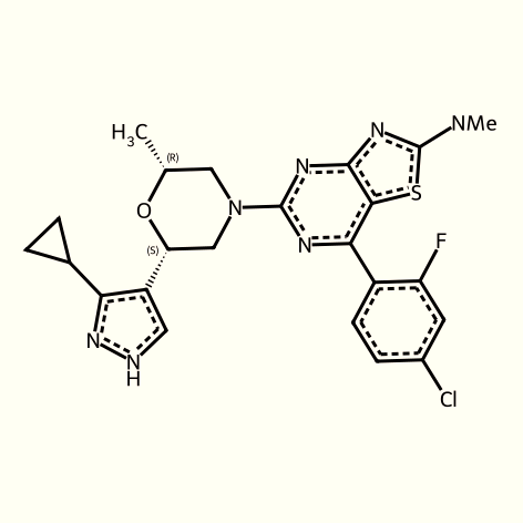 CNc1nc2nc(N3C[C@@H](C)O[C@@H](c4c[nH]nc4C4CC4)C3)nc(-c3ccc(Cl)cc3F)c2s1